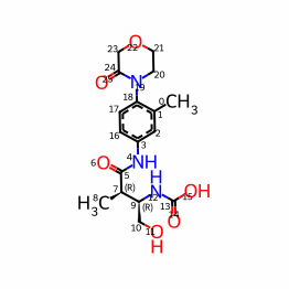 Cc1cc(NC(=O)[C@H](C)[C@H](CO)NC(=O)O)ccc1N1CCOCC1=O